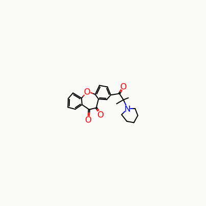 CC(C)(C(=O)c1ccc2oc3ccccc3c(=O)c(=O)c2c1)N1CCCCC1